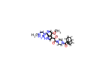 C=N/C=C\N(N)c1ncc(OC)c2c(C(=O)C(=O)N3CCN(C(=O)C45CC6CC(CC(C6)C4)C5)CC3)c[nH]c12